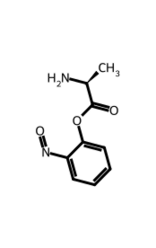 C[C@H](N)C(=O)Oc1ccccc1N=O